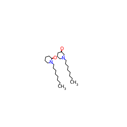 CCCCCCCCN1CCCC(=O)C1.CCCCCCCCN1CCCCC1=O